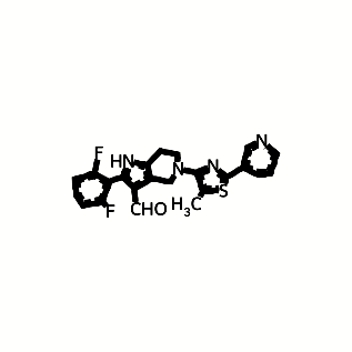 Cc1sc(-c2cccnc2)nc1N1CCc2[nH]c(-c3c(F)cccc3F)c(C=O)c2C1